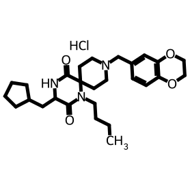 CCCCN1C(=O)C(CC2CCCC2)NC(=O)C12CCN(Cc1ccc3c(c1)OCCO3)CC2.Cl